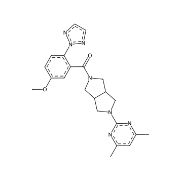 COc1ccc(-n2nccn2)c(C(=O)N2CC3CN(c4nc(C)cc(C)n4)CC3C2)c1